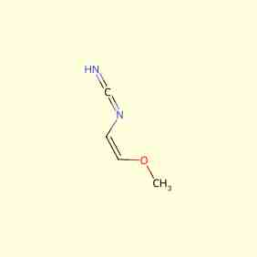 CO/C=C\N=C=N